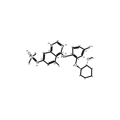 CO[C@@H]1CCCC[C@H]1Oc1cc(F)ccc1Nc1ncnc2cc(N=S(C)(C)=O)cc(C)c12